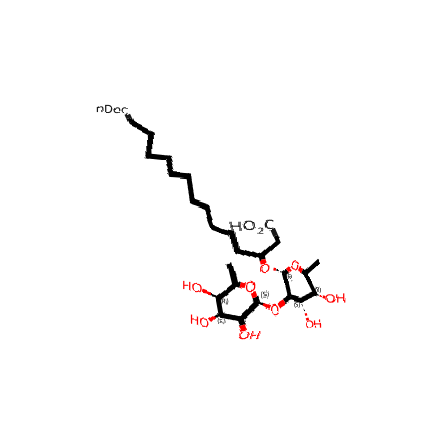 CCCCCCCCCCCCCCCCCCCCCC(CC(=O)O)O[C@@H]1OC(C)[C@H](O)[C@H](O)C1O[C@@H]1OC(C)[C@H](O)[C@H](O)C1O